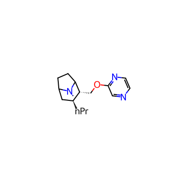 CCC[C@H]1CC2CCC([C@@H]1COc1cnccn1)N2C